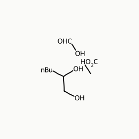 CC(=O)O.CCCCC(O)CO.O=CO